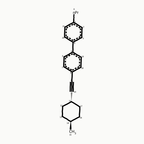 CCCc1ccc(-c2ccc(C#C[C@H]3CC[C@H](C)CC3)cc2)cc1